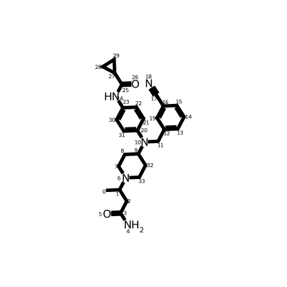 CC(CC(N)=O)N1CCC(N(Cc2cccc(C#N)c2)c2ccc(NC(=O)C3CC3)cc2)CC1